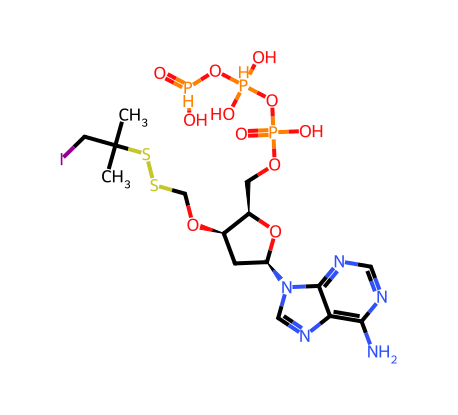 CC(C)(CI)SSCO[C@@H]1C[C@H](n2cnc3c(N)ncnc32)O[C@@H]1COP(=O)(O)O[PH](O)(O)O[PH](=O)O